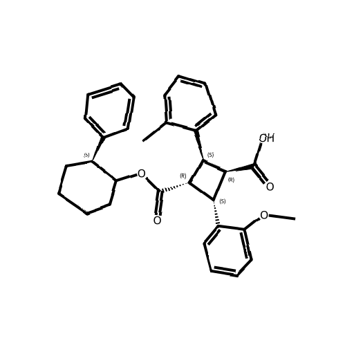 COc1ccccc1[C@H]1[C@H](C(=O)O)[C@H](c2ccccc2C)[C@H]1C(=O)OC1CCCC[C@H]1c1ccccc1